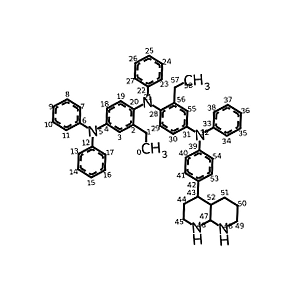 CCc1cc(N(c2ccccc2)c2ccccc2)ccc1N(c1ccccc1)c1ccc(N(c2ccccc2)c2ccc(C3CCNC4NCCCC43)cc2)cc1CC